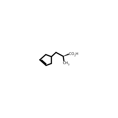 C[C@@H](CC1CC=CC1)C(=O)O